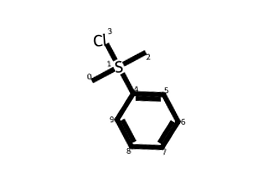 CS(C)(Cl)c1ccccc1